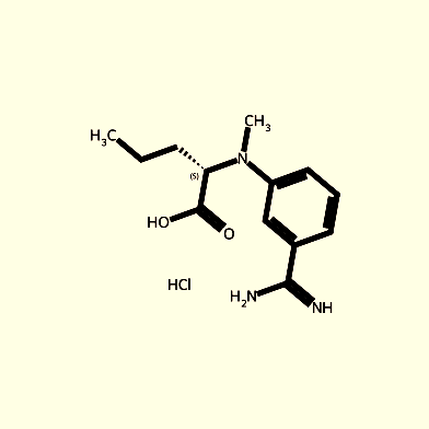 CCC[C@@H](C(=O)O)N(C)c1cccc(C(=N)N)c1.Cl